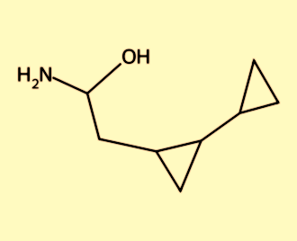 NC(O)CC1CC1C1CC1